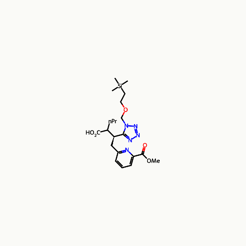 CCCC(C(=O)O)[C@H](Cc1cccc(C(=O)OC)n1)c1nnnn1COCC[Si](C)(C)C